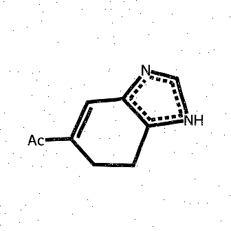 CC(=O)C1=Cc2nc[nH]c2CC1